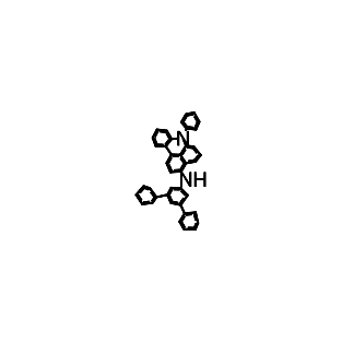 c1ccc(-c2cc(Nc3ccc4c5c(cccc35)N(c3ccccc3)c3ccccc3-4)cc(-c3ccccc3)c2)cc1